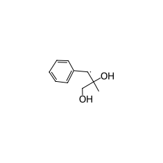 CC(O)([CH]c1ccccc1)CO